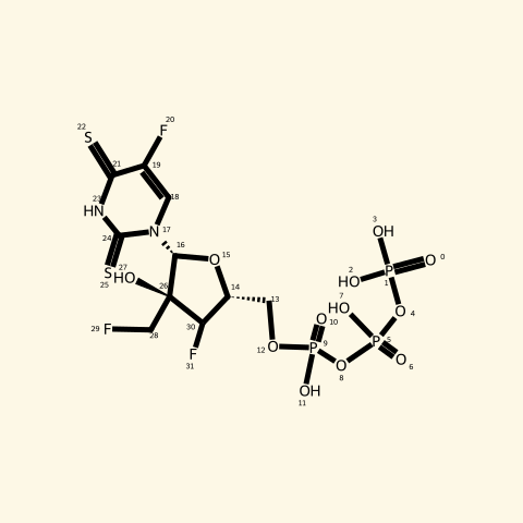 O=P(O)(O)OP(=O)(O)OP(=O)(O)OC[C@H]1O[C@@H](n2cc(F)c(=S)[nH]c2=S)[C@@](O)(CF)C1F